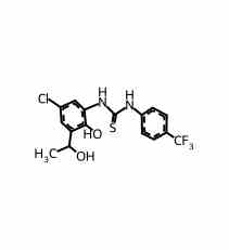 CC(O)c1cc(Cl)cc(NC(=S)Nc2ccc(C(F)(F)F)cc2)c1O